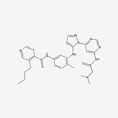 CCCCc1cnccc1C(=O)Nc1ccc(C)c(Nc2ccnn2-c2cc(NC(=O)CN(C)C)ncn2)c1